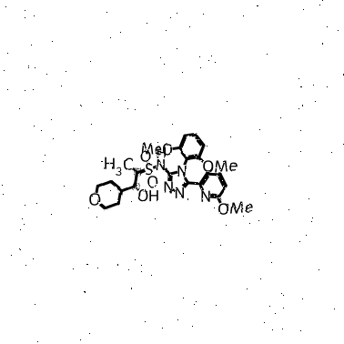 COc1cccc(-c2nnc(NS(=O)(=O)[C@H](C)[C@H](O)C3CCOCC3)n2-c2c(OC)cccc2OC)n1